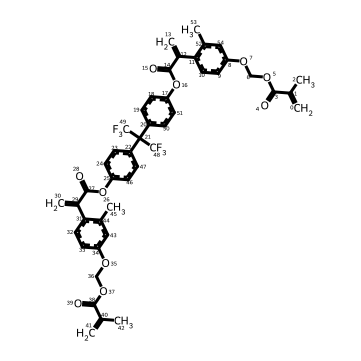 C=C(C)C(=O)OCOc1ccc(C(=C)C(=O)Oc2ccc(C(c3ccc(OC(=O)C(=C)c4ccc(OCOC(=O)C(=C)C)cc4C)cc3)(C(F)(F)F)C(F)(F)F)cc2)c(C)c1